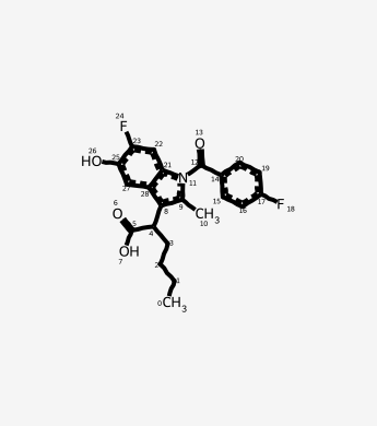 CCCCC(C(=O)O)c1c(C)n(C(=O)c2ccc(F)cc2)c2cc(F)c(O)cc12